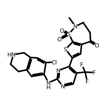 CN1CCC(=O)c2cc(-c3nc(Nc4cc5c(cc4Cl)CNCC5)ncc3C(F)(F)F)sc2S1(=O)=O